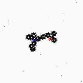 c1ccc(-c2c(-c3cccc(-c4ccc(-c5ccc(N(c6ccc7c(ccc8ccccc87)c6)c6cc7ccccc7c7ccccc67)cc5)cc4)c3)oc3ccccc23)cc1